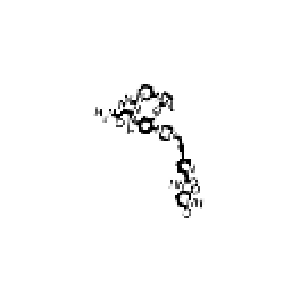 CN1CCN(C2CCCN(c3nnc(C(N)=O)c(Nc4ccc(N5CCN(CC#Cc6ccc(C(=O)NC7CCC(=O)NC7=O)nc6)CC5)c(F)c4)n3)C2)C1=O